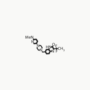 CNc1ccc(N2CCN(Cc3ccc4nc(C(C)(F)F)c(=O)[nH]c4c3)CC2)cn1